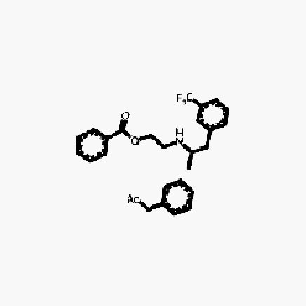 CC(=O)Cc1ccccc1.CC(Cc1cccc(C(F)(F)F)c1)NCCOC(=O)c1ccccc1